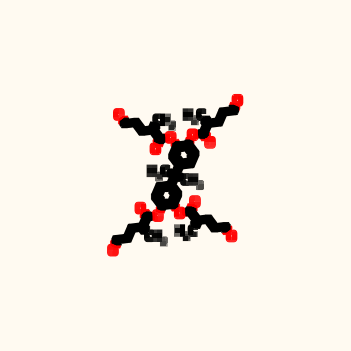 C=C(CCC=O)C(=O)Oc1ccc(C(C)(C)c2ccc(OC(=O)C(=C)CCC=O)c(OC(=O)C(=C)CCC=O)c2)cc1OC(=O)C(=C)CCC=O